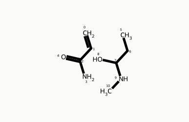 C=CC(N)=O.CCC(O)NC